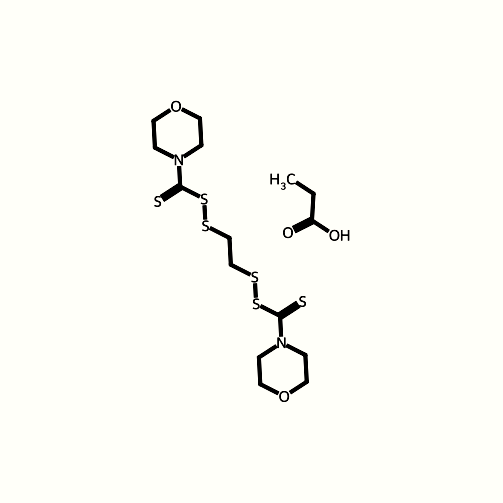 CCC(=O)O.S=C(SSCCSSC(=S)N1CCOCC1)N1CCOCC1